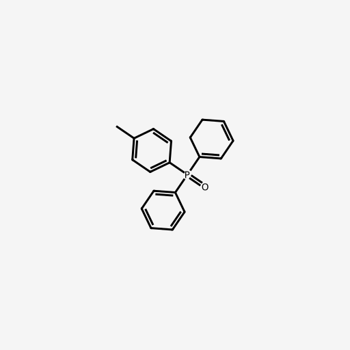 Cc1ccc(P(=O)(C2=CC=CCC2)c2ccccc2)cc1